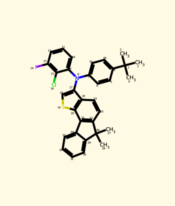 CC(C)(C)c1ccc(N(c2cccc(I)c2Cl)c2csc3c4c(ccc23)C(C)(C)c2ccccc2-4)cc1